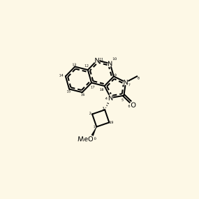 CO[C@H]1C[C@H](n2c(=O)n(C)c3nnc4ccccc4c32)C1